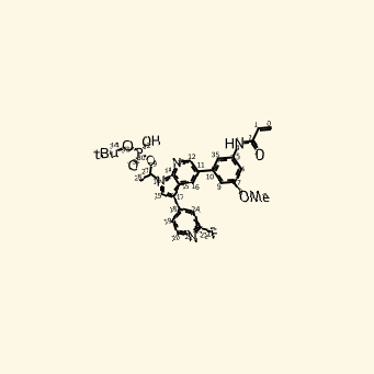 C=CC(=O)Nc1cc(OC)cc(-c2cnc3c(c2)c(-c2ccnc(F)c2)cn3C(C)OP(=O)(O)OC(C)(C)C)c1